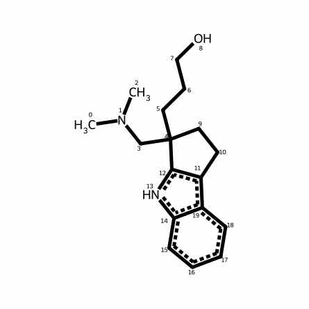 CN(C)CC1(CCCO)CCc2c1[nH]c1ccccc21